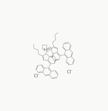 CCCCC1=Cc2c(-c3c4ccccc4cc4ccccc34)cccc2[CH]1[Hf+2]1([CH]2C(CCCC)=Cc3c(-c4c5ccccc5cc5ccccc45)cccc32)[CH2]C[CH2]1.[Cl-].[Cl-]